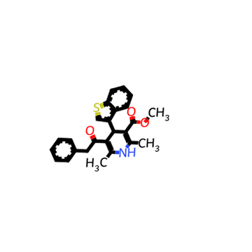 COC(=O)C1=C(C)NC(C)=C(C(=O)Cc2ccccc2)C1c1csc2ccccc12